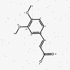 COc1ccc(C=CC([O])=O)cc1OC